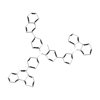 Cc1cc(-c2cccc(-n3c4ccccc4c4ccccc43)c2)ccc1N(c1ccc(-c2ccc3ccccc3c2)cc1)c1ccc(-c2cc3ccccc3c3ccccc23)cc1